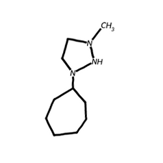 CN1CCN(C2CCCCCC2)N1